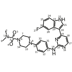 CN(C)S(=O)(=O)N1CCN(c2ccc(Nc3nccc(-c4c[nH]c5ccc(F)cc45)n3)cc2)CC1